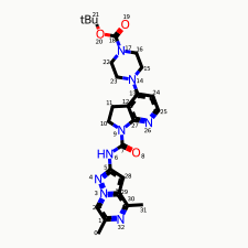 Cc1cn2nc(NC(=O)N3CCc4c(N5CCN(C(=O)OC(C)(C)C)CC5)ccnc43)cc2c(C)n1